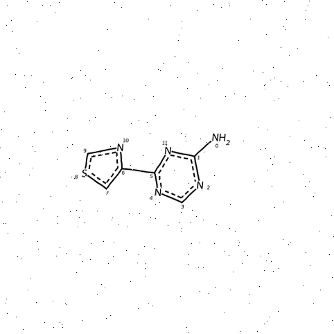 Nc1ncnc(-c2cscn2)n1